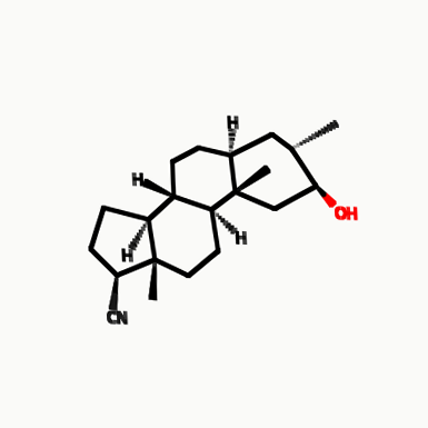 C[C@H]1C[C@@H]2CC[C@@H]3[C@H](CC[C@]4(C)[C@@H](C#N)CC[C@@H]34)[C@@]2(C)C[C@@H]1O